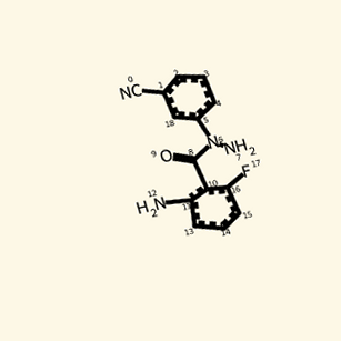 N#Cc1cccc(N(N)C(=O)c2c(N)cccc2F)c1